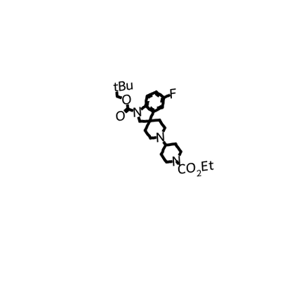 CCOC(=O)N1CCC(N2CCC3(CC2)CN(C(=O)OCC(C)(C)C)c2ccc(F)cc23)CC1